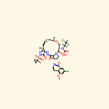 COc1cc(F)cc2c(O[C@@H]3C[C@H]4C(=O)N[C@]5(C(=O)NS(=O)(=O)C6(C)CC6)C[C@H]5/C=C\CC[C@@H](C)O[C@@H](C)[C@H](N(C(=O)O)C(C)(C)C(C)(F)F)C(=O)N4C3)nccc12